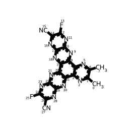 Cc1nc2c(nc1C)c1nc3nc(F)c(C#N)nc3nc1c1nc3nc(F)c(C#N)nc3nc21